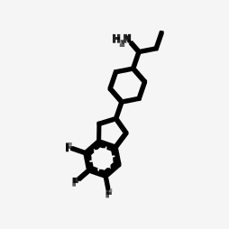 CCC(N)C1CCC(C2Cc3cc(F)c(F)c(F)c3C2)CC1